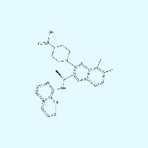 Cc1c(F)ccc2cc([C@H](C)Nc3ncnc4cccnc34)c(N3CCC(C(=O)O)CC3)nc12